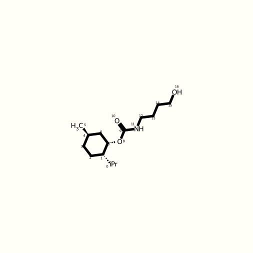 CC(C)[C@@H]1CC[C@@H](C)C[C@@H]1OC(=O)NCCCCO